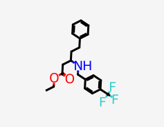 CCOC(=O)CC(CCc1ccccc1)NCc1ccc(C(F)(F)F)cc1